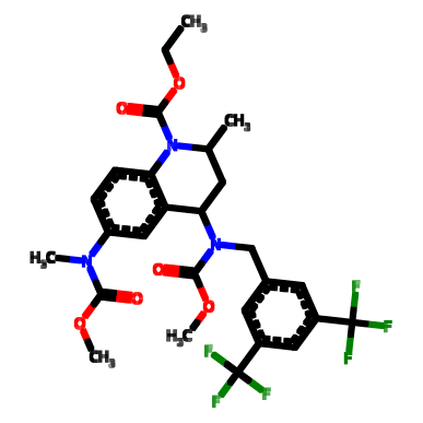 CCOC(=O)N1c2ccc(N(C)C(=O)OC)cc2C(N(Cc2cc(C(F)(F)F)cc(C(F)(F)F)c2)C(=O)OC)CC1C